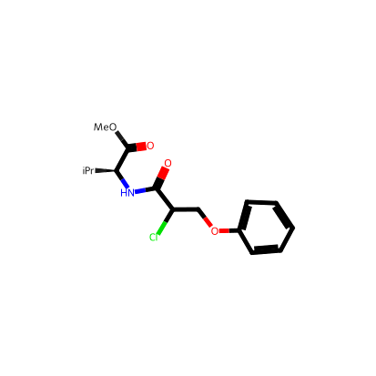 COC(=O)[C@@H](NC(=O)C(Cl)COc1ccccc1)C(C)C